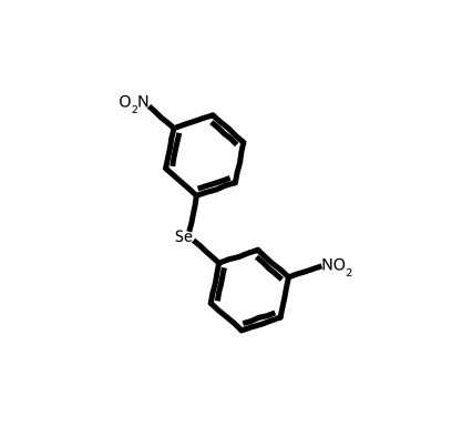 O=[N+]([O-])c1cccc([Se]c2cccc([N+](=O)[O-])c2)c1